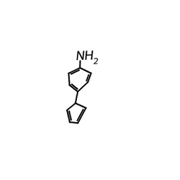 Nc1ccc(C2C=CC=C2)cc1